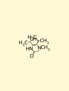 CC(C)C1=C(C(C)C)N(C)CC(=O)N1